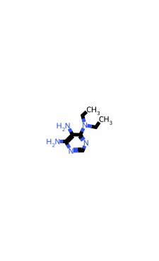 CCN(CC)c1ncnc(N)c1N